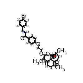 C[C@H]1[C@@H](OCCOc2ccc(C(=O)/C=C/c3ccc(Br)cc3)cc2)O[C@@H]2O[C@@]3(C)CC[C@H]4[C@H](C)CC[C@@H]1[C@@]24OO3